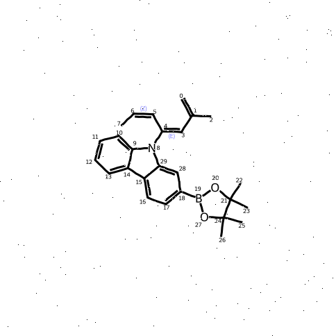 C=C(C)/C=C(\C=C/C)n1c2ccccc2c2ccc(B3OC(C)(C)C(C)(C)O3)cc21